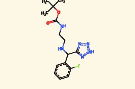 CC(C)(C)OC(=O)NCCNC(c1nn[nH]n1)c1ccccc1F